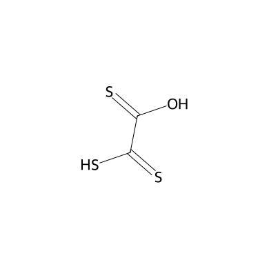 OC(=S)C(=S)S